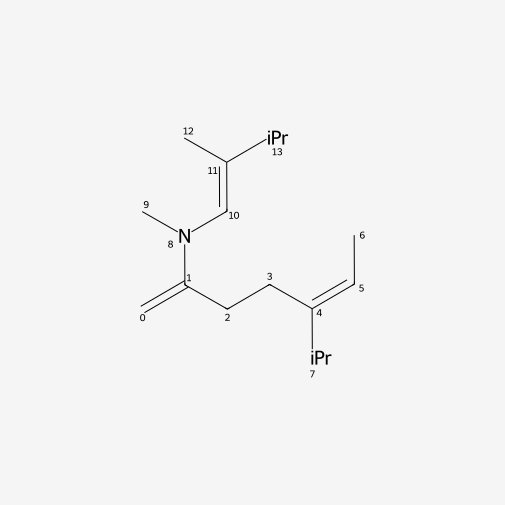 C=C(CC/C(=C\C)C(C)C)N(C)/C=C(\C)C(C)C